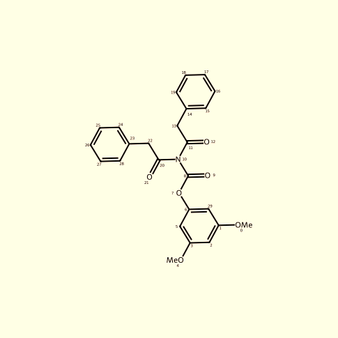 COc1cc(OC)cc(OC(=O)N(C(=O)Cc2ccccc2)C(=O)Cc2ccccc2)c1